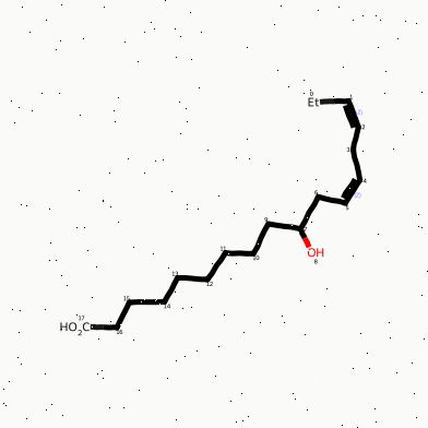 CC/C=C\C/C=C\CC(O)CCCCCCCCC(=O)O